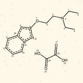 CCN(CC)CCOc1cc2ccccn2n1.O=C(O)C(=O)O